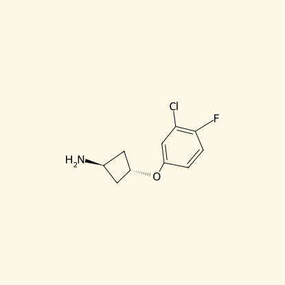 N[C@H]1C[C@H](Oc2ccc(F)c(Cl)c2)C1